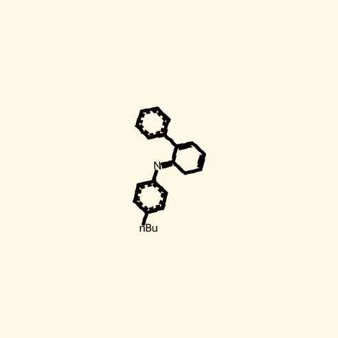 CCCCc1ccc(N=C2CC=CC=C2c2ccccc2)cc1